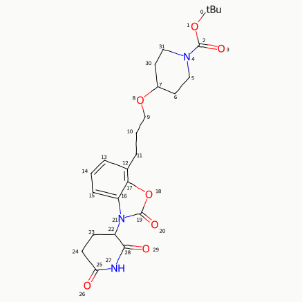 CC(C)(C)OC(=O)N1CCC(OCCCc2cccc3c2oc(=O)n3C2CCC(=O)NC2=O)CC1